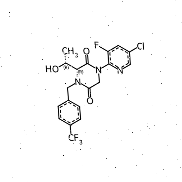 C[C@@H](O)[C@@H]1C(=O)N(c2ncc(Cl)cc2F)CC(=O)N1Cc1ccc(C(F)(F)F)cc1